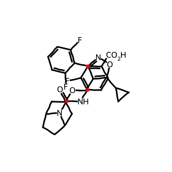 O=C(O)c1ccc(NC(=O)N2C3CCC2CC(OCc2c(-c4c(F)cccc4F)noc2C2CC2)C3)c(F)c1